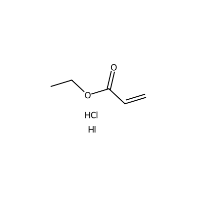 C=CC(=O)OCC.Cl.I